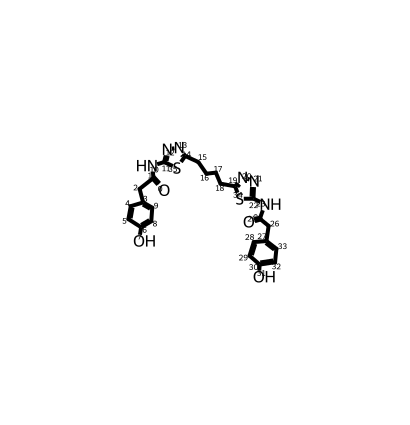 O=C(Cc1ccc(O)cc1)Nc1nnc(CCCCc2nnc(NC(=O)Cc3ccc(O)cc3)s2)s1